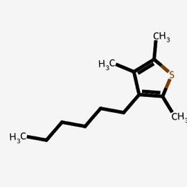 CCCCCCc1c(C)sc(C)c1C